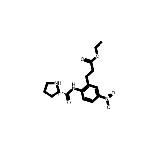 CCOC(=O)CCc1cc([N+](=O)[O-])ccc1NC(=O)[C@@H]1CCCN1